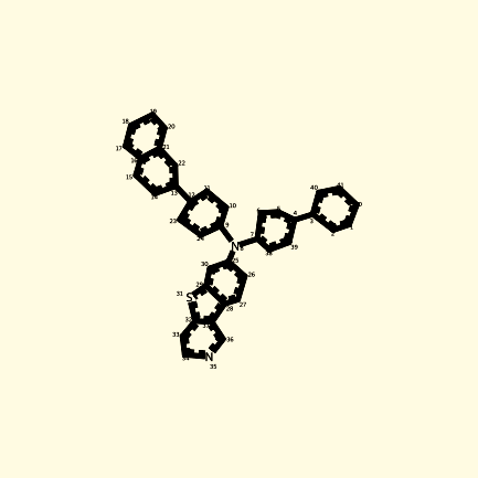 c1ccc(-c2ccc(N(c3ccc(-c4ccc5ccccc5c4)cc3)c3ccc4c(c3)sc3ccncc34)cc2)cc1